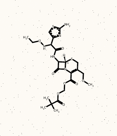 CCONC(C(=O)NC1C(=O)N2C(C(=O)OCOC(=O)C(C)(C)C)=C(COC)CS[C@@H]12)c1csc(N)n1